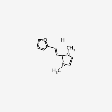 CN1C=CN(C)C1C=Cc1ccco1.I